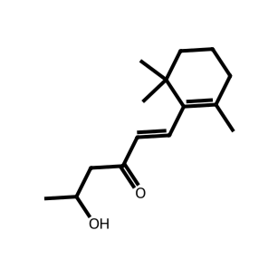 CC1=C(C=CC(=O)CC(C)O)C(C)(C)CCC1